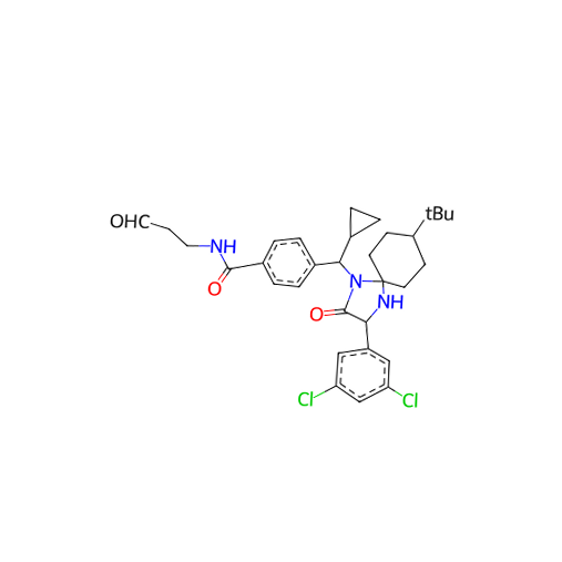 CC(C)(C)C1CCC2(CC1)NC(c1cc(Cl)cc(Cl)c1)C(=O)N2C(c1ccc(C(=O)NCCC=O)cc1)C1CC1